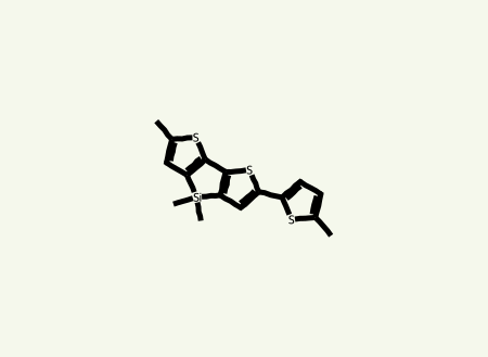 Cc1ccc(-c2cc3c(s2)-c2sc(C)cc2[Si]3(C)C)s1